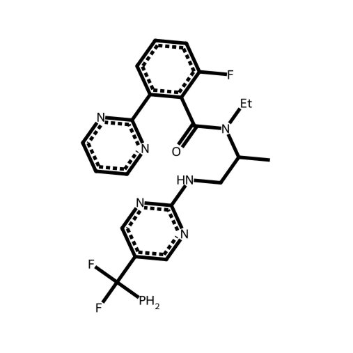 CCN(C(=O)c1c(F)cccc1-c1ncccn1)C(C)CNc1ncc(C(F)(F)P)cn1